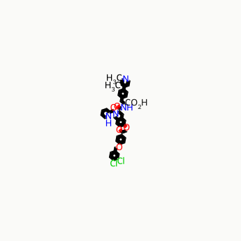 Cc1nccc(-c2ccc(CC(NC(=O)[C@@H]3Cc4cc5c(cc4CN3C(=O)C3CCCCN3)O[C@@H](c3ccc(OCc4ccc(Cl)c(Cl)c4)cc3)CO5)C(=O)O)cc2)c1C